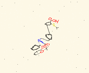 CC(C)Sc1cc(-c2ccc(CCN(C[C@H](OC3CCCCO3)c3ccccc3)C(=O)OC(C)(C)C)cc2)ccc1C(=O)O